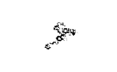 Cc1cnc(Cn2c(-c3ccc(OCCCN4CCCC4)cc3Cl)nc3c(OC4(C)CC4)ncnc32)s1